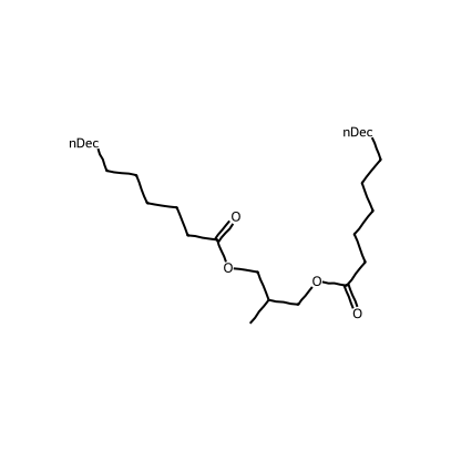 CCCCCCCCCCCCCCCC(=O)OCC(C)COC(=O)CCCCCCCCCCCCCCC